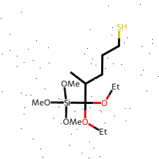 CCOC(OCC)(C(C)CCCS)[Si](OC)(OC)OC